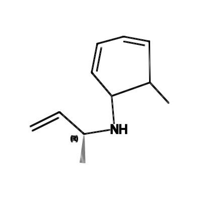 C=C[C@@H](C)NC1C=CC=CC1C